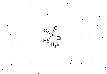 O=S(=O)(O)S.S